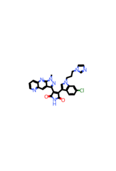 Cn1nc(C2=C(c3cn(CCCn4ccnc4)c4cc(Cl)ccc34)C(=O)NC2=O)c2cc3ncccc3nc21